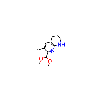 [CH2]c1cc2c(nc1C(OC)OC)NCCC2